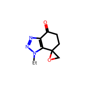 CCn1nnc2c1C1(CCC2=O)CO1